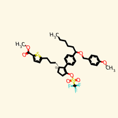 CCCCCC(OCc1ccc(OC)cc1)c1ccc(C2=C(OS(=O)(=O)C(F)(F)F)CC[C@@H]2CCCc2ccc(C(=O)OC)s2)cc1